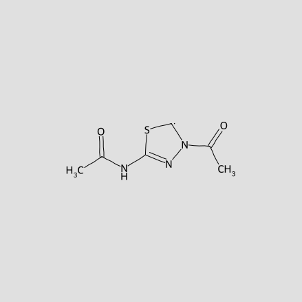 CC(=O)NC1=NN(C(C)=O)[CH]S1